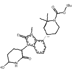 Cn1c(=O)n(C2CCC(O)NC2=O)c2cccc([C@H]3CCN(C(=O)OC(C)(C)C)C(C)(C)C3)c21